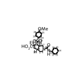 CC[C@@]1(C(=O)O)C[C@@H]2CCN(C(=O)Nc3ccccc3)C[C@@H]2N1S(=O)(=O)c1ccc(OC)cc1